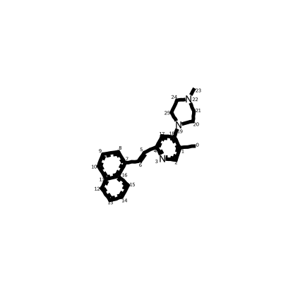 Cc1cnc(/C=C/c2cccc3ccccc23)cc1N1CCN(C)CC1